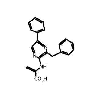 C=C(Nc1ncc(-c2ccccc2)nc1Cc1ccccc1)C(=O)O